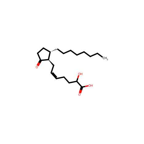 CCCCCCCC[C@H]1CCC(=O)[C@@H]1C/C=C\CCC(O)C(=O)O